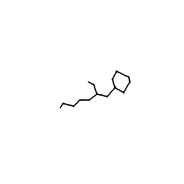 CCCCCC(CO)CC1CCCCC1